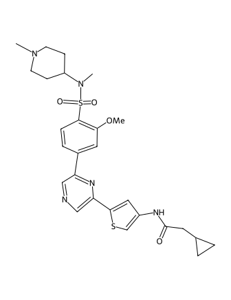 COc1cc(-c2cncc(-c3cc(NC(=O)CC4CC4)cs3)n2)ccc1S(=O)(=O)N(C)C1CCN(C)CC1